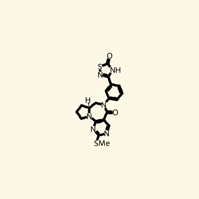 CSc1ncc2c(n1)N1CCC[C@H]1CN(c1cccc(-c3nsc(=O)[nH]3)c1)C2=O